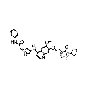 COc1cc2c(Nc3cnn(CC(=O)Nc4ccccc4)c3)ccnc2cc1OCC[C@H](N)C(=O)OC1CCCC1